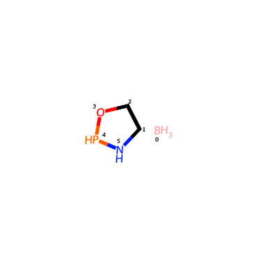 B.C1COPN1